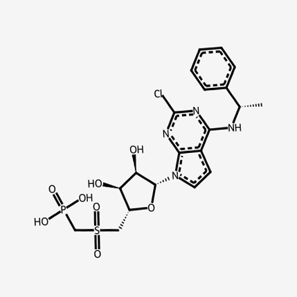 C[C@H](Nc1nc(Cl)nc2c1ccn2[C@@H]1O[C@H](CS(=O)(=O)CP(=O)(O)O)[C@@H](O)[C@H]1O)c1ccccc1